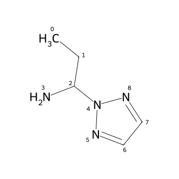 CCC(N)n1nccn1